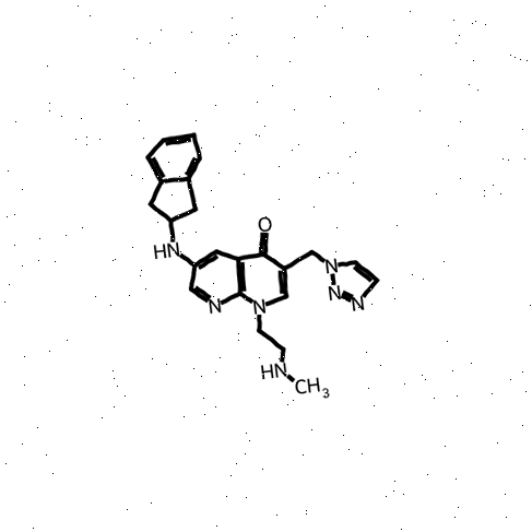 CNCCn1cc(Cn2ccnn2)c(=O)c2cc(NC3Cc4ccccc4C3)cnc21